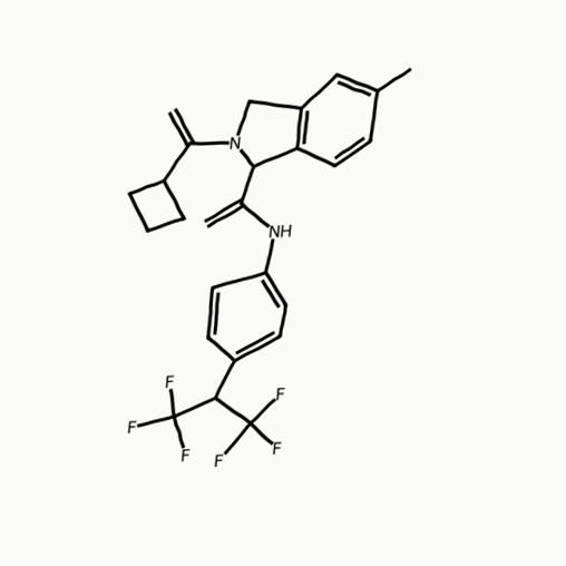 C=C(Nc1ccc(C(C(F)(F)F)C(F)(F)F)cc1)C1c2ccc(C)cc2CN1C(=C)C1CCC1